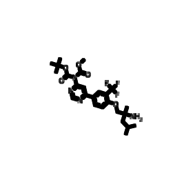 COC(=O)N(C(=O)OC(C)(C)C)c1cc(-c2ccc(OCC(C)(N)CC(C)C)c(C(F)(F)F)c2)ncn1